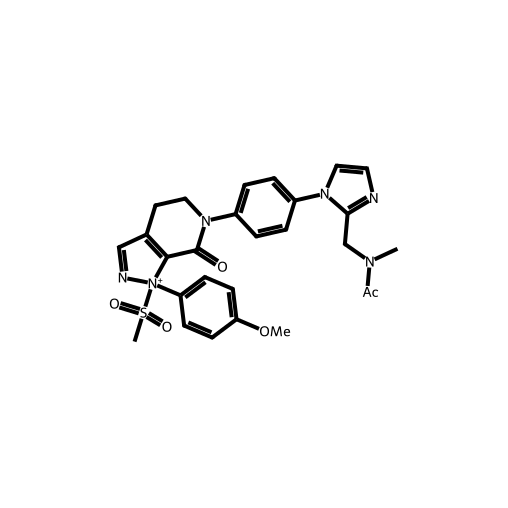 COc1ccc([N+]2(S(C)(=O)=O)N=CC3=C2C(=O)N(c2ccc(-n4ccnc4CN(C)C(C)=O)cc2)CC3)cc1